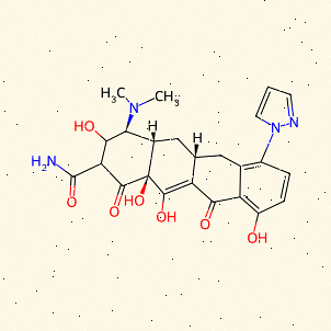 CN(C)[C@@H]1C(O)C(C(N)=O)C(=O)[C@@]2(O)C(O)=C3C(=O)c4c(O)ccc(-n5cccn5)c4C[C@H]3C[C@@H]12